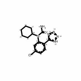 NC(=O)N(c1cc(Cl)ccc1-c1nnn[nH]1)C1CCCCC1